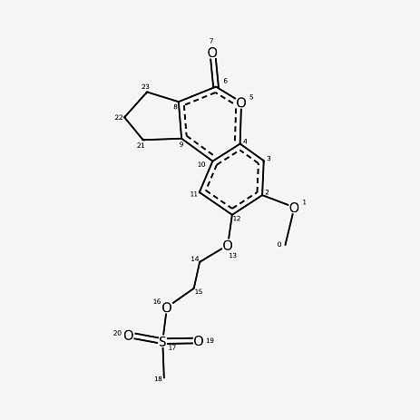 COc1cc2oc(=O)c3c(c2cc1OCCOS(C)(=O)=O)CCC3